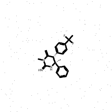 C=C1[C@H](c2ccc(C(C)(F)F)cc2)[C@@](C)(c2ccccc2)NC(=N)N1C